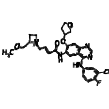 COCC1CCN1CC=CC(=O)Nc1cc2c(Nc3ccc(F)c(Cl)c3)ncnc2cc1OC1CCOC1